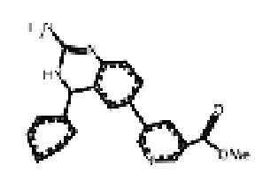 COC(=O)c1cncc(-c2ccc3c(c2)C(c2ccccc2)NC(N)=N3)c1